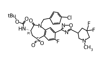 CN1CC(c2nc(-c3cc4c(cc3F)S(=O)(=O)C[C@H](NC(=O)OC(C)(C)C)C(=O)N4Cc3ccc(Cl)cc3)no2)CC(F)(F)C1